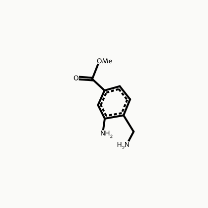 COC(=O)c1ccc(CN)c(N)c1